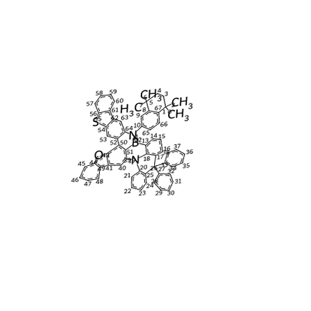 CC1(C)CCC(C)(C)c2cc(N3B4c5cccc6c5N(c5ccccc5C6(c5ccccc5)c5ccccc5)c5cc6c(oc7ccccc76)c(c54)-c4cc5sc6ccccc6c5cc43)ccc21